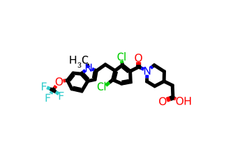 Cn1c(Cc2c(Cl)ccc(C(=O)N3CCC(CC(=O)O)CC3)c2Cl)cc2ccc(OC(F)(F)F)cc21